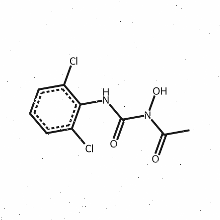 CC(=O)N(O)C(=O)Nc1c(Cl)cccc1Cl